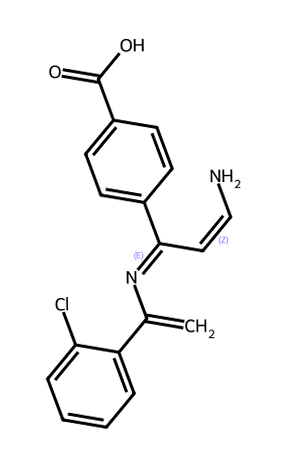 C=C(/N=C(\C=C/N)c1ccc(C(=O)O)cc1)c1ccccc1Cl